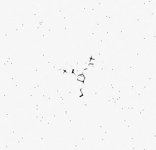 C=CCO[C@@H]1C[C@H](CO[Si](C)(C)C(C)(C)C)N(C(=O)OC(C)(C)C)C1